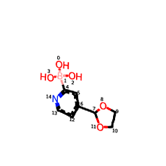 O[B-](O)(O)c1cc(C2OCCO2)ccn1